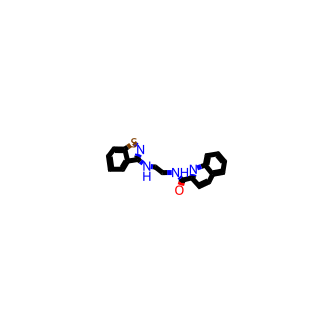 O=C(NCCNc1nsc2ccccc12)c1ccc2ccccc2n1